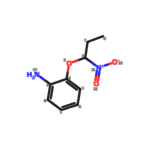 CCC(Oc1ccccc1N)[N+](=O)[O-]